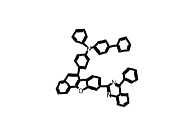 c1ccc(-c2ccc(N(c3ccccc3)c3ccc(-c4cc5ccccc5c5oc6cc(-c7nc(-c8ccccc8)c8ccccc8n7)ccc6c45)cc3)cc2)cc1